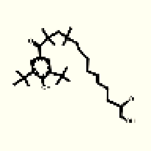 CC(C)(CCCCCCCCC(O)CO)CC(C)(C)C(=O)c1cc(C(C)(C)C)c(O)c(C(C)(C)C)c1